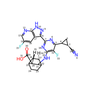 N#C[C@@H]1CC1c1nc(-c2n[nH]c3ncc(F)cc23)nc(N[C@H]2C3CCC(CC3)[C@@H]2C(=O)O)c1F